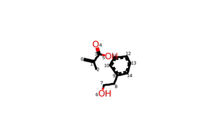 C=C(C)C(=O)O.OCCc1ccccc1